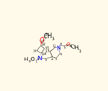 CCN(CC1CCN(CCOC)CC1)[C@H]1C[C@H](OC)C1